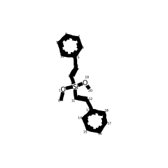 CO[Si](C=Cc1ccccc1)(C=Cc1ccccc1)OC